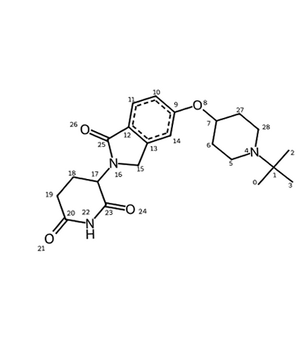 CC(C)(C)N1CCC(Oc2ccc3c(c2)CN(C2CCC(=O)NC2=O)C3=O)CC1